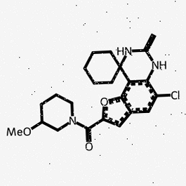 C=C1Nc2c(Cl)cc3cc(C(=O)N4CCCC(OC)C4)oc3c2C2(CCCCC2)N1